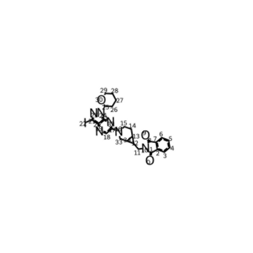 O=C1c2ccccc2C(=O)N1CC1C2CCN(c3cnc4c(I)nn(C5CCCCO5)c4n3)CC21